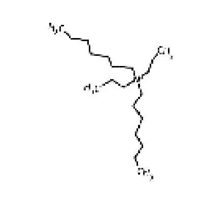 CCCCCCC[N+](CCC)(CCC)CCCCCCC